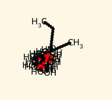 CCCCCCCC/C=C\CCCCCCCCCCCCCC(=O)N[C@@H](CO[C@@H]1OC(CO)[C@@H](O[C@@H]2OC(CO)[C@H](O[C@@H]3OC(CO)[C@H](O)[C@H](O[C@@H]4OC(CO)[C@H](O)[C@H](O[C@@H]5OC(CO)[C@H](O)[C@H](O[C@]6(C(=O)O)CC(O)[C@@H](NC(=O)CO)C([C@H](O)[C@@H](CO)O[C@]7(C(=O)O)CC(O)[C@@H](NC(=O)CO)C([C@H](O)[C@H](O)CO)O7)O6)C5O)C4NC(C)=O)C3O)[C@H](O)C2O)[C@H](O)C1O)[C@H](O)/C=C/CCCCCCCCCCCCC